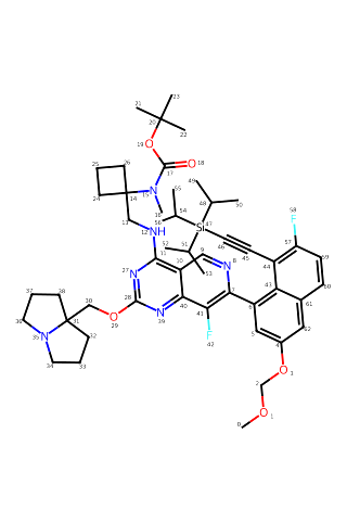 COCOc1cc(-c2ncc3c(NCC4(N(C)C(=O)OC(C)(C)C)CCC4)nc(OCC45CCCN4CCC5)nc3c2F)c2c(C#C[Si](C(C)C)(C(C)C)C(C)C)c(F)ccc2c1